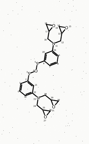 c1cc(SOSc2cccc(N(CC3CO3)CC3CO3)c2)cc(N(CC2CO2)CC2CO2)c1